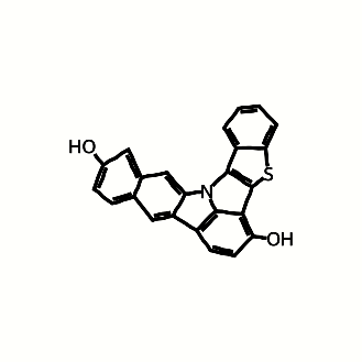 Oc1ccc2cc3c4ccc(O)c5c6sc7ccccc7c6n(c3cc2c1)c45